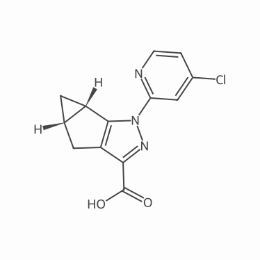 O=C(O)c1nn(-c2cc(Cl)ccn2)c2c1C[C@@H]1C[C@H]21